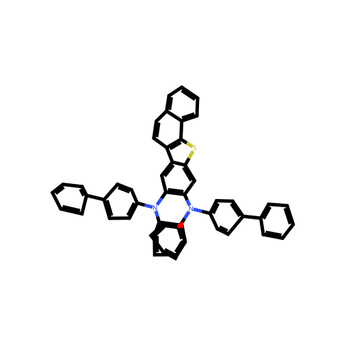 c1ccc(-c2ccc(N(c3ccccc3)c3cc4sc5c6ccccc6ccc5c4cc3N(c3ccccc3)c3ccc(-c4ccccc4)cc3)cc2)cc1